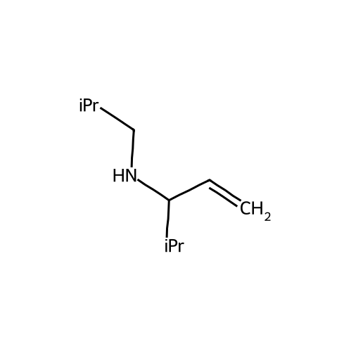 C=CC(NCC(C)C)C(C)C